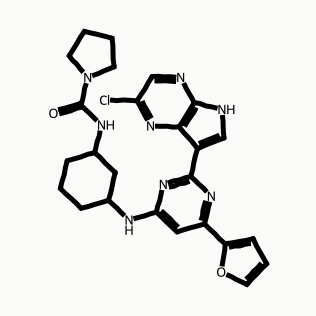 O=C(NC1CCCC(Nc2cc(-c3ccco3)nc(-c3c[nH]c4ncc(Cl)nc34)n2)C1)N1CCCC1